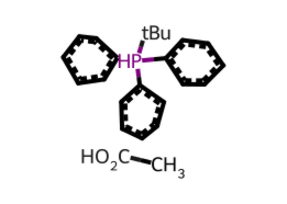 CC(=O)O.CC(C)(C)[PH](c1ccccc1)(c1ccccc1)c1ccccc1